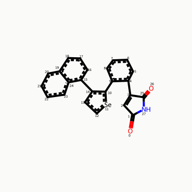 O=C1C=C(c2ccccc2-c2[se]ccc2-c2cccc3ccccc23)C(=O)N1